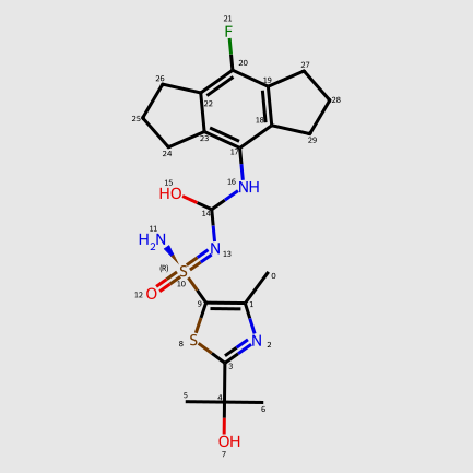 Cc1nc(C(C)(C)O)sc1[S@](N)(=O)=NC(O)Nc1c2c(c(F)c3c1CCC3)CCC2